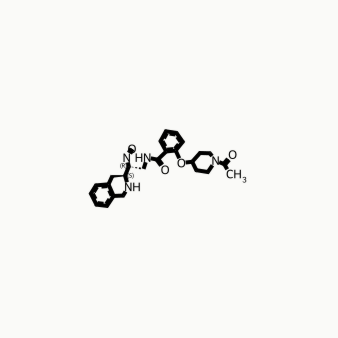 CC(=O)N1CCC(Oc2ccccc2C(=O)NC[C@@H](N=O)[C@@H]2Cc3ccccc3CN2)CC1